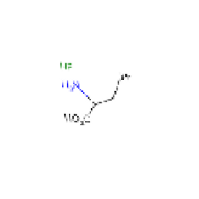 CC(C)CC(N)C(=O)O.F